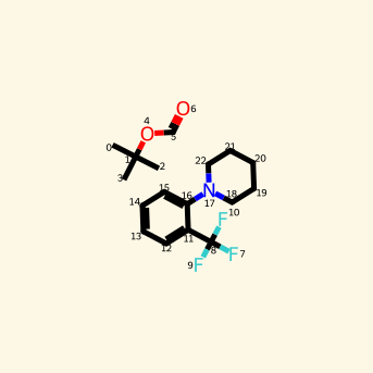 CC(C)(C)OC=O.FC(F)(F)c1ccccc1N1CCCCC1